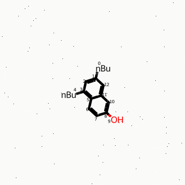 CCCCc1cc(CCCC)c2ccc(O)cc2c1